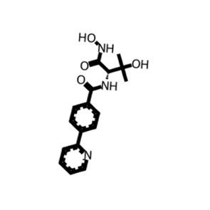 CC(C)(O)[C@H](NC(=O)c1ccc(-c2ccccn2)cc1)C(=O)NO